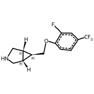 Fc1cc(C(F)(F)F)ccc1OC[C@H]1[C@@H]2CNC[C@@H]21